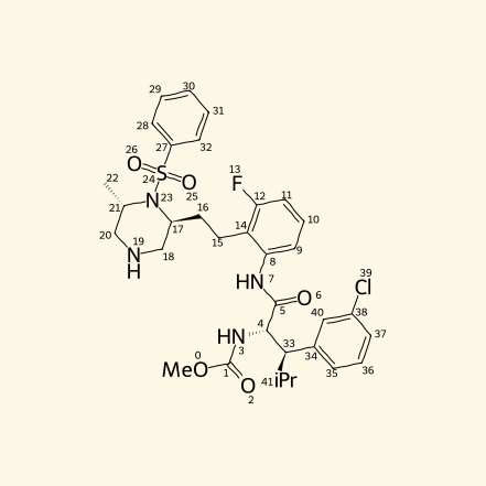 COC(=O)N[C@H](C(=O)Nc1cccc(F)c1CC[C@H]1CNC[C@H](C)N1S(=O)(=O)c1ccccc1)[C@@H](c1cccc(Cl)c1)C(C)C